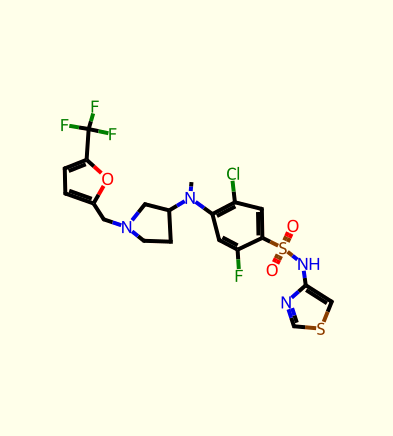 CN(c1cc(F)c(S(=O)(=O)Nc2cscn2)cc1Cl)C1CCN(Cc2ccc(C(F)(F)F)o2)C1